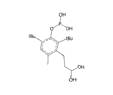 Cc1cc(C(C)(C)C)c(OP(O)O)c(C(C)(C)C)c1CCC(O)O